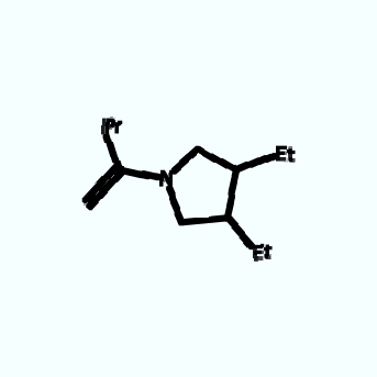 C=C(C(C)C)N1CC(CC)C(CC)C1